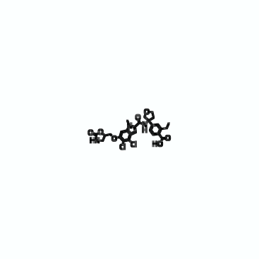 CCc1cc(C2(NC(=O)c3cc4c(Cl)c(Cl)c(OCC5CNC(=O)O5)cc4n3C)CCOC2)ccc1C(=O)O